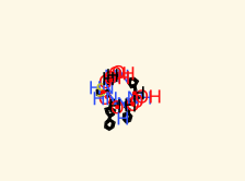 O=C1N[C@@H](Cc2ccc(-c3ccccc3)cc2)C(=O)N[C@@H](CCc2ccccc2)C(=O)N[C@H](C(=O)O)Cc2ccc(cc2)NC(=O)[C@H](O)[C@@H](O)C(=O)NC1c1cccs1